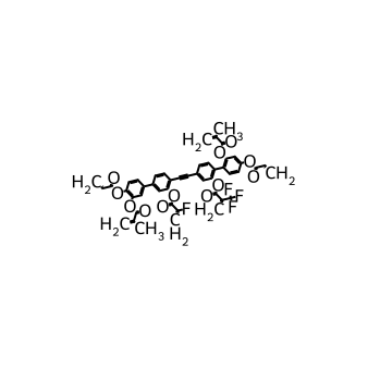 C=CC(=O)Oc1ccc(-c2ccc(C#Cc3ccc(-c4ccc(OC(=O)C=C)c(OC(=O)C(=C)C)c4)cc3OC(=O)C(=C)F)cc2OC(=O)C(=C)C(F)(F)F)c(OC(=O)C(=C)C)c1